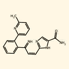 Cc1cccc(-c2ccccc2C(=N)/C=C\c2ncc(C(N)=O)[nH]2)n1